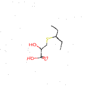 CCC(CC)SCC(O)C(=O)O